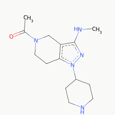 CNc1nn(C2CCNCC2)c2c1CN(C(C)=O)CC2